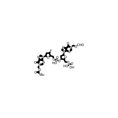 CC(C)(C)C(=O)OCn1cnc2c(ncn2C2CC(F)C(COP(=O)(O)O[C@H]3CC(n4cnc5c(=O)n(COC=O)cnc54)OC3COP(=O)(O)O)O2)c1=O